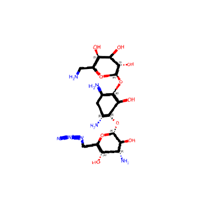 [N-]=[N+]=NCC1O[C@H](O[C@H]2C(O)[C@H](O[C@H]3OC(CN)[C@@H](O)C(O)[C@@H]3O)C(N)C[C@H]2N)C(O)[C@H](N)[C@@H]1O